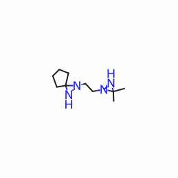 CC1(C)NN1CC[N@@]1NC12CCCC2